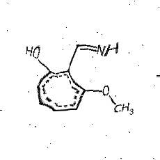 COc1cccc(O)c1C=N